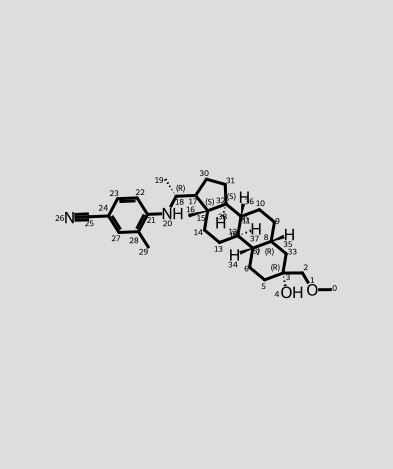 COC[C@@]1(O)CC[C@H]2[C@H](CC[C@@H]3[C@@H]2CC[C@]2(C)C([C@@H](C)Nc4ccc(C#N)cc4C)CC[C@@H]32)C1